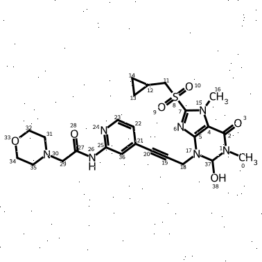 CN1C(=O)c2c(nc(S(=O)(=O)CC3CC3)n2C)N(CC#Cc2ccnc(NC(=O)CN3CCOCC3)c2)C1O